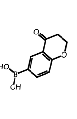 O=C1CCOc2ccc(B(O)O)cc21